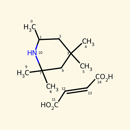 CC1CC(C)(C)CC(C)(C)N1.O=C(O)C=CC(=O)O